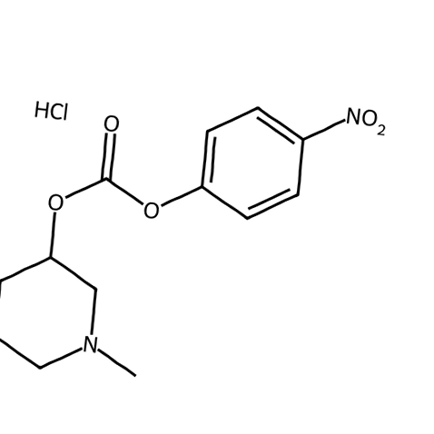 CN1CCCC(OC(=O)Oc2ccc([N+](=O)[O-])cc2)C1.Cl